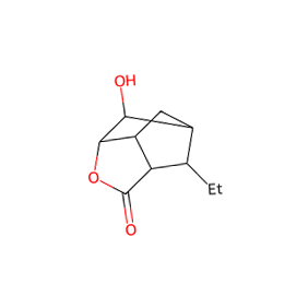 CCC1C2CC3C(OC(=O)C13)C2O